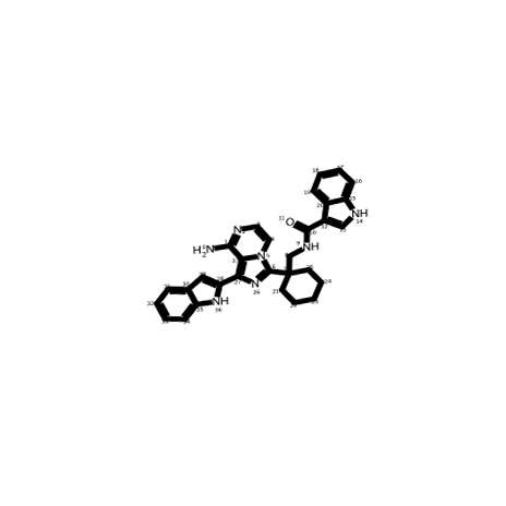 Nc1nccn2c(C3(CNC(=O)c4c[nH]c5ccccc45)CCCCC3)nc(-c3cc4ccccc4[nH]3)c12